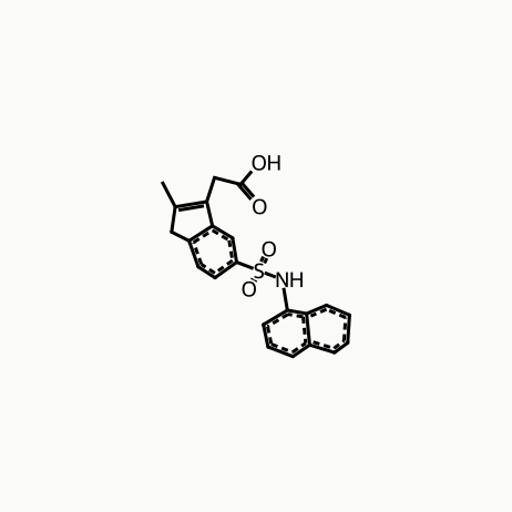 CC1=C(CC(=O)O)c2cc(S(=O)(=O)Nc3cccc4ccccc34)ccc2C1